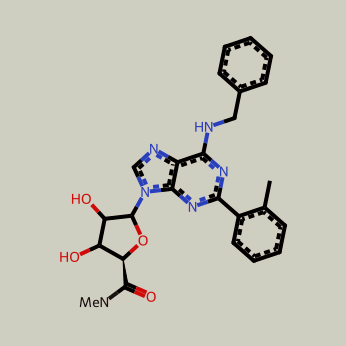 CNC(=O)[C@@H]1OC(n2cnc3c(NCc4ccccc4)nc(-c4ccccc4C)nc32)C(O)C1O